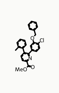 COC(=O)c1ccc(-c2ccccc2C)c(-c2ccc(Cl)c(OCc3ccccc3)c2)n1